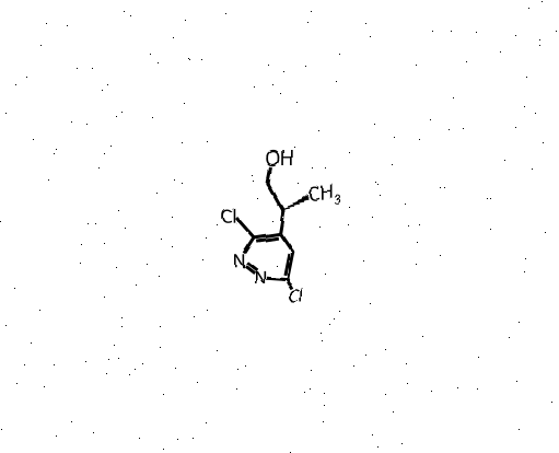 C[C@H](CO)c1cc(Cl)nnc1Cl